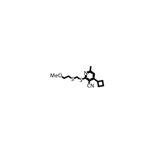 COCCSCSc1nc(C)cc(C2CCC2)c1C#N